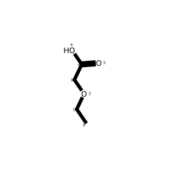 CCO[CH]C(=O)O